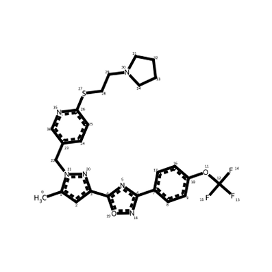 Cc1cc(-c2nc(-c3ccc(OC(F)(F)F)cc3)no2)nn1Cc1ccc(SCCN2CCCC2)nc1